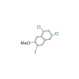 COc1cc2c(Cl)cc(Cl)cc2cc1I